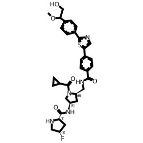 COC(CO)c1ccc(-c2ncc(-c3ccc(C(=O)NC[C@H]4C[C@@H](NC(=O)[C@@H]5C[C@H](F)CN5)CN4C(=O)C4CC4)cc3)s2)cc1